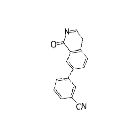 N#Cc1cccc(-c2ccc3c(c2)C(=O)N=CC3)c1